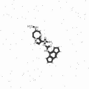 CN[C@@H]1CCn2ncc(S(N)(=O)=NC(=O)Nc3c4c(cc5c3CCC5)CCC4)c2OC1